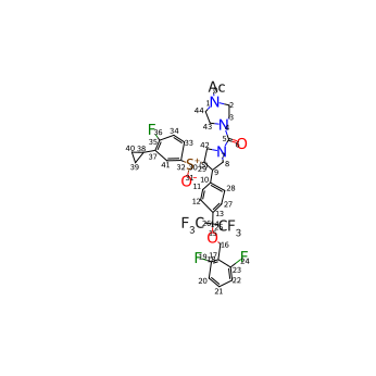 CC(=O)N1CCN(C(=O)N2CC(c3ccc(C(OCc4c(F)cccc4F)(C(F)(F)F)C(F)(F)F)cc3)[C@H]([S+]([O-])c3ccc(F)c(C4CC4)c3)C2)CC1